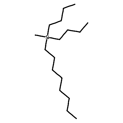 CCCCCCCC[Si](C)(CCCC)CCCC